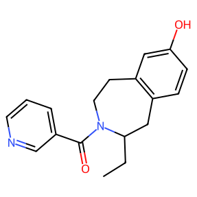 CCC1Cc2ccc(O)cc2CCN1C(=O)c1cccnc1